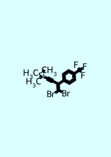 C[Si](C)(C)C#CC(=C(Br)Br)c1ccc(C(F)(F)F)cc1